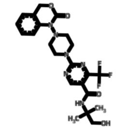 CC(C)(CO)NC(=O)c1cnc(N2CCN(N3C(=O)OCc4ccccc43)CC2)nc1C(F)(F)F